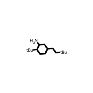 CC(C)(C)CCC1CCC(C(C)(C)C)C(N)C1